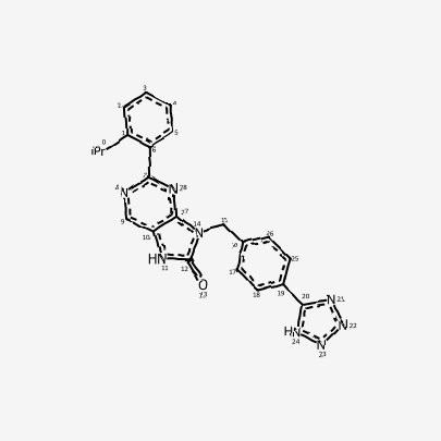 CC(C)c1ccccc1-c1ncc2[nH]c(=O)n(Cc3ccc(-c4nnn[nH]4)cc3)c2n1